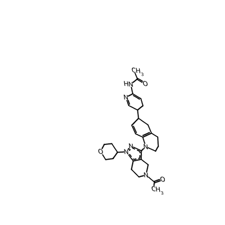 CC(=O)NC1=CCC(C2C=CC3=C(CCCN3c3nn(C4CCOCC4)c4c3CN(C(C)=O)CC4)C2)C=N1